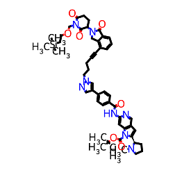 CN1CCC[C@@H]1c1cc2cnc(NC(=O)c3ccc(-c4cnn(CCCC#Cc5cccc6c5CN(C5CCC(=O)N(COCC[Si](C)(C)C)C5=O)C6=O)c4)cc3)cc2n1C(=O)OC(C)(C)C